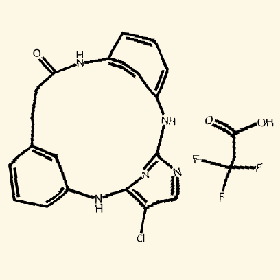 O=C(O)C(F)(F)F.O=C1CCc2cccc(c2)Nc2nc(ncc2Cl)Nc2cccc(c2)N1